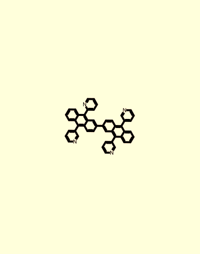 c1ccc(-c2c3ccccc3c(-c3cccnc3)c3ccc(-c4ccc5c(-c6cccnc6)c6ccccc6c(-c6cccnc6)c5c4)cc23)nc1